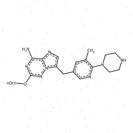 CCCCCCCCOc1nc(N)c2ncc(Cc3cnc(N4CCNCC4)c(C)c3)n2n1